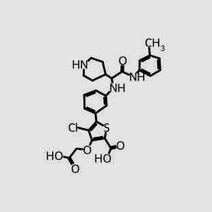 Cc1cccc(NC(=O)C(Nc2cccc(-c3sc(C(=O)O)c(OCC(=O)O)c3Cl)c2)C2CCNCC2)c1